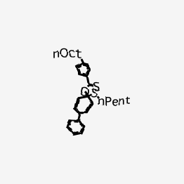 CCCCCCCCc1ccc(C(=S)OC2(SCCCCC)C=CC(c3ccccc3)C=C2)cc1